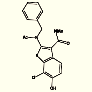 CNC(=O)c1c(N(Cc2ccccc2)C(C)=O)sc2c(Cl)c(O)ccc12